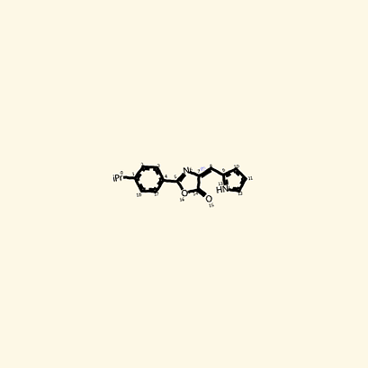 CC(C)c1ccc(C2=N/C(=C/c3ccc[nH]3)C(=O)O2)cc1